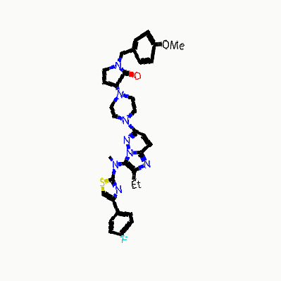 CCc1nc2ccc(N3CCN(C4CCN(Cc5ccc(OC)cc5)C4=O)CC3)nn2c1N(C)c1nc(-c2ccc(F)cc2)cs1